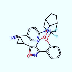 N#Cc1ccc(NC2C3CCC2CC(OCc2c(-c4ccccc4OC(F)(F)F)noc2C2CC2)C3)nc1